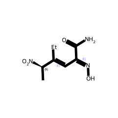 CC/C(=C\C(=N/O)C(N)=O)[C@@H](C)[N+](=O)[O-]